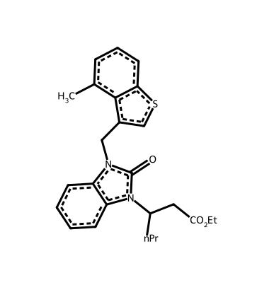 CCCC(CC(=O)OCC)n1c(=O)n(Cc2csc3cccc(C)c23)c2ccccc21